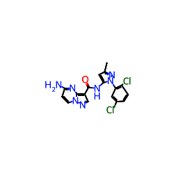 Cc1cc(NC(=O)c2cnn3ccc(N)nc23)n(-c2cc(Cl)ccc2Cl)n1